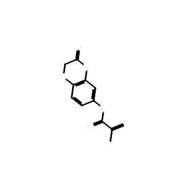 C=C(C)C(=O)Oc1ccc2c(c1)OC(=O)CS2